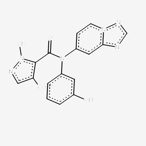 Cn1ncc(C(=O)O)c1C(=O)N(c1cccc(O)c1)c1ccn2ncnc2c1